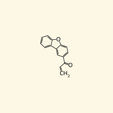 C=CC(=O)c1ccc2oc3ccccc3c2c1